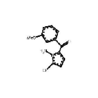 CCc1ccc(C(=O)c2cccc(OC)c2)n1N